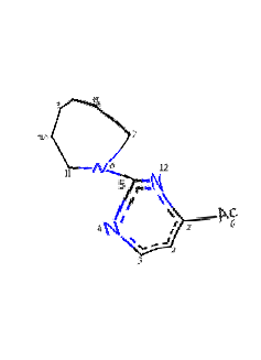 CC(=O)c1ccnc(N2CCCCC2)n1